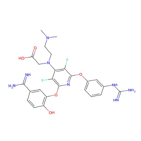 CN(C)CCN(CC(=O)O)c1c(F)c(Oc2cccc(NC(=N)N)c2)nc(Oc2cc(C(=N)N)ccc2O)c1F